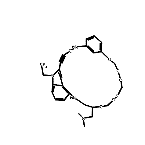 CN(C)CC1CCOCCOCCOc2cccc(c2)NCC#Cc2cc3c(cccc3n2CC(F)(F)F)NC1